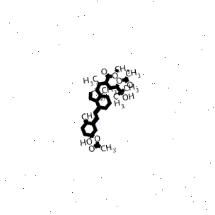 C=C1CC[C@@](O)(OC(C)=O)C/C1=C/C=C1CCC[C@@]2(C)C1CC[C@@H]2[C@H](C)C(CC(OC(C)=O)C(C)(C)O)C(=O)OC